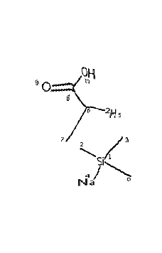 C[Si](C)(C)[Na].[2H]C(C)C(=O)O